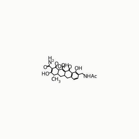 CC(=O)NCc1ccc2c(c1O)C(=O)C1=C(O)[C@]3(O)C(=O)C(C(N)=O)=C(O)[C@@H](C)C3CC1C2